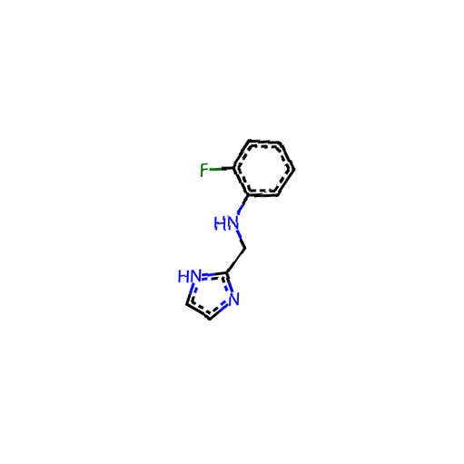 Fc1ccccc1NCc1ncc[nH]1